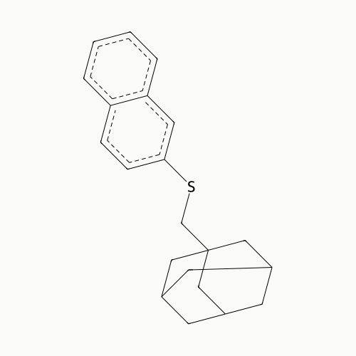 c1ccc2cc(SCC34CC5CC(CC(C5)C3)C4)ccc2c1